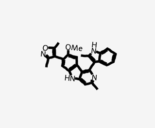 COc1cc2c(cc1-c1c(C)noc1C)[nH]c1cc(C)nc(-c3c(C)[nH]c4ccccc34)c12